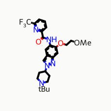 COCCOc1cc2nn(C3CCN(C(C)(C)C)CC3)cc2cc1NC(=O)c1cccc(C(F)(F)F)n1